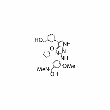 CNC(O)c1ccc(Nc2nc(OC3CCCC3)c3c(-c4cccc(CO)c4)c[nH]c3n2)c(OC)c1